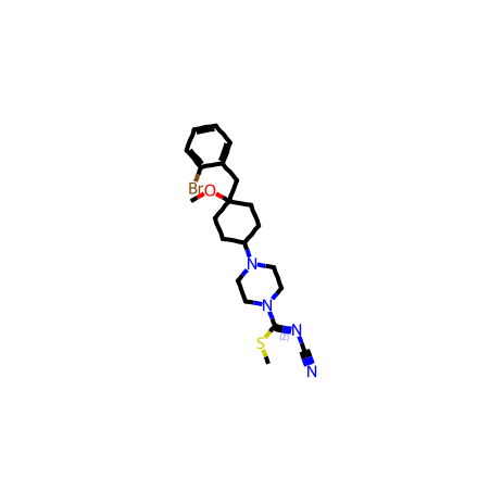 COC1(Cc2ccccc2Br)CCC(N2CCN(/C(=N/C#N)SC)CC2)CC1